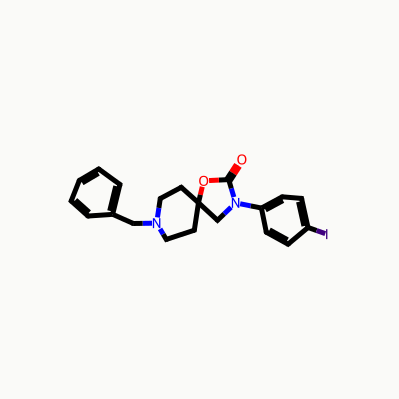 O=C1OC2(CCN(Cc3ccccc3)CC2)CN1c1ccc(I)cc1